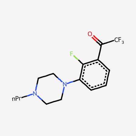 CCCN1CCN(c2cccc(C(=O)C(F)(F)F)c2F)CC1